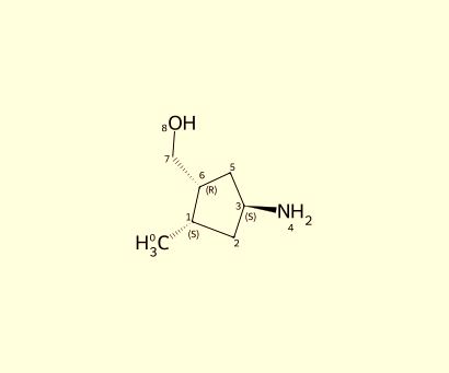 C[C@H]1C[C@H](N)C[C@H]1CO